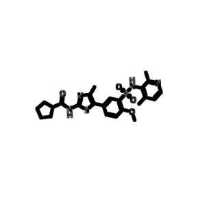 COc1ccc(-c2sc(NC(=O)C3CCCC3)nc2C)cc1S(=O)(=O)Nc1c(C)ccnc1C